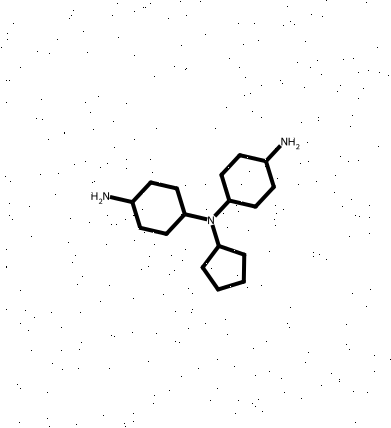 NC1CCC(N(C2CCCC2)C2CCC(N)CC2)CC1